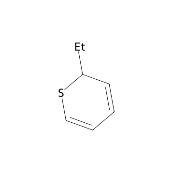 CCC1C=CC=CS1